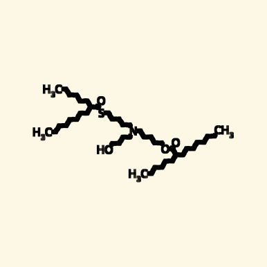 CCCCCCCCC(CCCCCC)C(=O)OCCCCCN(CCCCO)CCCCCSC(=O)C(CCCCCC)CCCCCCCC